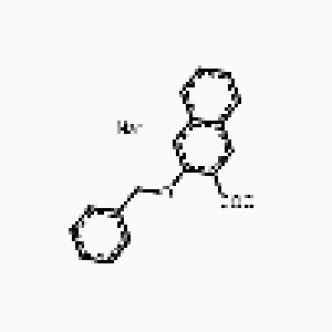 O=C([O-])c1cc2ccccc2cc1OCc1ccccc1.[Na+]